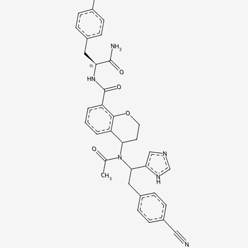 CC(=O)N(C(Cc1ccc(C#N)cc1)c1cnc[nH]1)C1CCOc2c(C(=O)N[C@@H](Cc3ccc(Cl)cc3)C(N)=O)cccc21